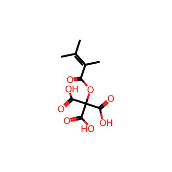 CC(C)=C(C)C(=O)OC(C(=O)O)(C(=O)O)C(=O)O